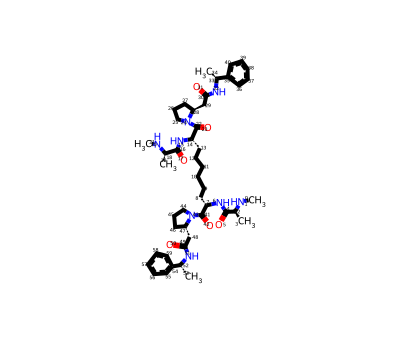 CN[C@@H](C)C(=O)N[C@@H](CCCCCC[C@H](NC(=O)[C@H](C)NC)C(=O)N1CCC[C@H]1CC(=O)N[C@H](C)c1ccccc1)C(=O)N1CCC[C@H]1CC(=O)N[C@H](C)c1ccccc1